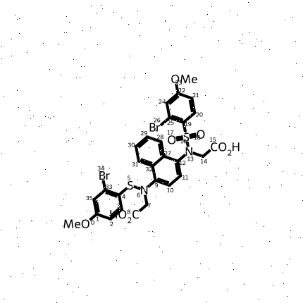 COc1ccc(SN(CC(=O)O)c2ccc(N(CC(=O)O)S(=O)(=O)c3ccc(OC)cc3Br)c3ccccc23)c(Br)c1